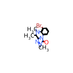 CC1c2nn(C)c(=O)n2-c2cccc(Br)c2N1C